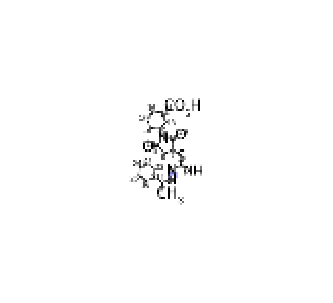 CC(/N=N/C(=N)SC1CC(=O)N(C2C=C(C(=O)O)C=CC2)C1=O)c1ccccc1